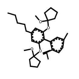 C=C(C)c1ccc(C)cc1-c1c(OC2(OC)CCCC2)cc(CCCCC)cc1OC1(OC)CCCC1